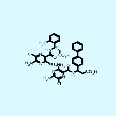 Cc1ccccc1[C@H](CC(=O)O)NC(=O)c1nc(Cl)c(N)nc1N.Nc1nc(N)c(C(=O)NC(CC(=O)O)c2ccc(-c3ccccc3)cc2)nc1Cl